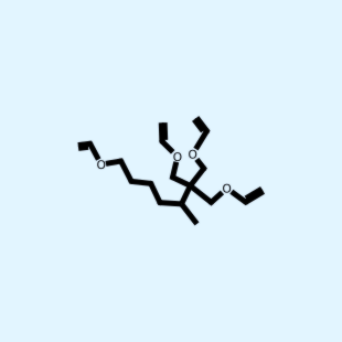 C=COCCCCC(C)C(COC=C)(COC=C)COC=C